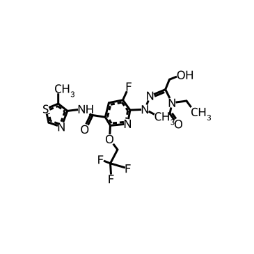 CCN(C=O)/C(CO)=N\N(C)c1nc(OCC(F)(F)F)c(C(=O)Nc2ncsc2C)cc1F